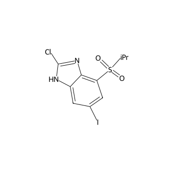 CC(C)S(=O)(=O)c1cc(I)cc2[nH]c(Cl)nc12